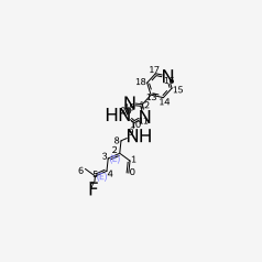 C=C/C(=C\C=C(/C)F)CNc1nc(-c2ccncc2)n[nH]1